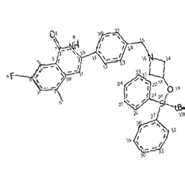 Cc1cc(F)cc2c(=O)[nH]c(-c3ccc(CN4CC(O[Si](c5ccccc5)(c5ccccc5)C(C)(C)C)C4)cc3)cc12